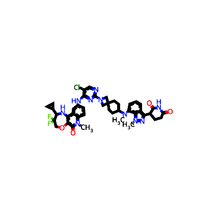 CN(c1cccc2c(C3CCC(=O)NC3=O)nn(C)c12)C1CCC2(CC1)CN(c1ncc(Cl)c(Nc3ccc4c(c3)c3c(c(=O)n4C)OCC(F)(F)C(C4CC4)N3)n1)C2